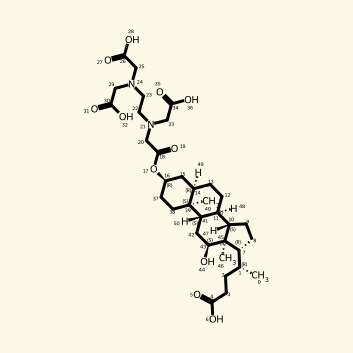 C[C@H](CCC(=O)O)[C@H]1CC[C@H]2[C@@H]3CC[C@@H]4C[C@H](OC(=O)CN(CCN(CC(=O)O)CC(=O)O)CC(=O)O)CC[C@]4(C)[C@H]3C[C@H](O)[C@]12C